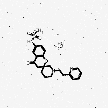 CS(=O)(=O)Nc1ccc2c(c1)C(=O)CC1(CCCN(CCc3ccccn3)C1)O2.Cl.O